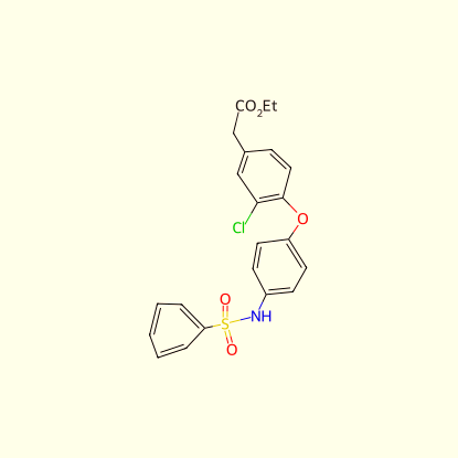 CCOC(=O)Cc1ccc(Oc2ccc(NS(=O)(=O)c3ccccc3)cc2)c(Cl)c1